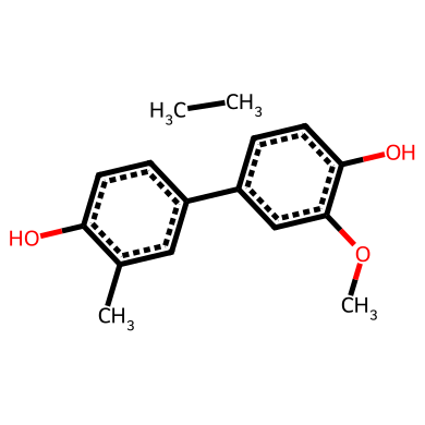 CC.COc1cc(-c2ccc(O)c(C)c2)ccc1O